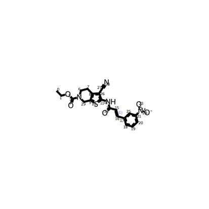 CCOC(=O)N1CCc2c(sc(NC(=O)/C=C/c3cccc([N+](=O)[O-])c3)c2C#N)C1